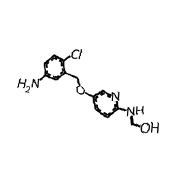 Nc1ccc(Cl)c(COc2ccc(NCO)nc2)c1